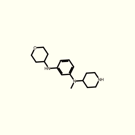 CN(c1cc[c]c(NC2CCOCC2)c1)C1CCNCC1